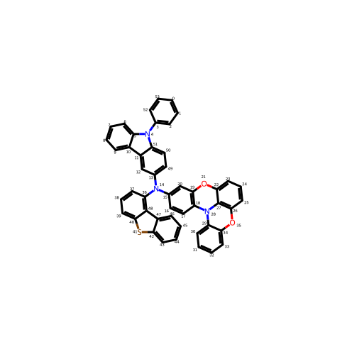 c1ccc(-n2c3ccccc3c3cc(N(c4ccc5c(c4)Oc4cccc6c4N5c4ccccc4O6)c4cccc5sc6ccccc6c45)ccc32)cc1